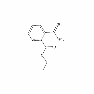 CCOC(=O)c1ccccc1C(=N)N